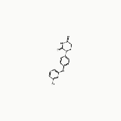 O=C1CCN(c2ccc(Oc3cccc(O)c3)cc2)C(=O)N1